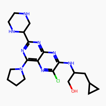 OCC(CC1CC1)Nc1nc2nc(C3CNCCN3)nc(N3CCCC3)c2nc1Cl